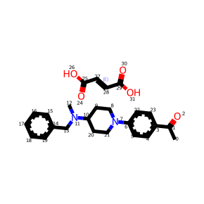 CC(=O)c1ccc(N2CCC(N(C)Cc3ccccc3)CC2)cc1.O=C(O)/C=C/C(=O)O